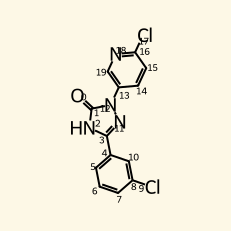 O=c1[nH]c(-c2cccc(Cl)c2)nn1-c1ccc(Cl)nc1